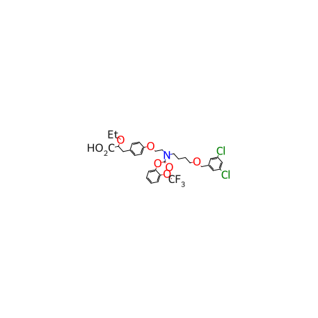 CCOC(Cc1ccc(OCCN(CCCCOCc2cc(Cl)cc(Cl)c2)C(=O)Oc2ccccc2OC(F)(F)F)cc1)C(=O)O